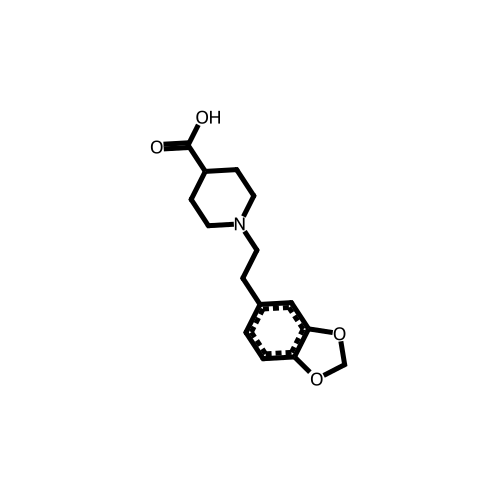 O=C(O)C1CCN(CCc2ccc3c(c2)OCO3)CC1